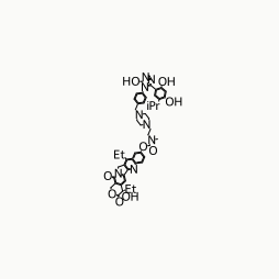 CCc1c2c(nc3ccc(OC(=O)N(C)CCN4CCN(Cc5ccc(-n6c(O)nnc6-c6cc(C(C)C)c(O)cc6O)cc5)CC4)cc13)-c1cc3c(c(=O)n1C2)COC(=O)[C@]3(O)CC